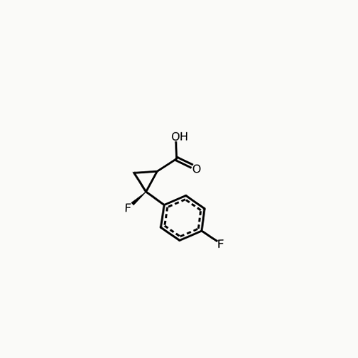 O=C(O)C1C[C@@]1(F)c1ccc(F)cc1